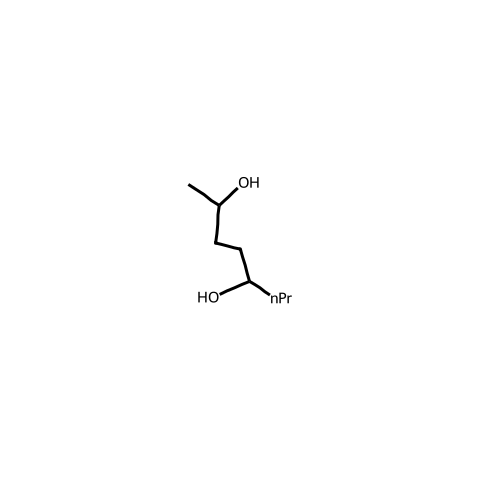 [CH2]CCC(O)CCC(C)O